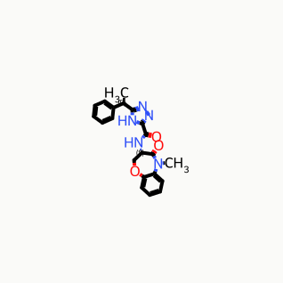 C[C@H](c1ccccc1)c1nnc(C(=O)N[C@H]2COc3ccccc3N(C)C2=O)[nH]1